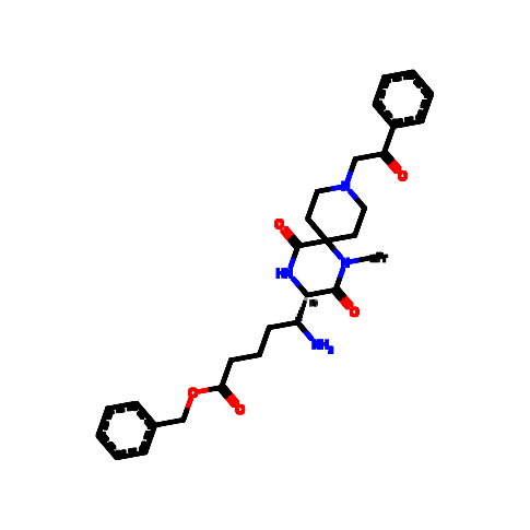 CCCN1C(=O)[C@H](C(N)CCCC(=O)OCc2ccccc2)NC(=O)C12CCN(CC(=O)c1ccccc1)CC2